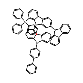 c1ccc(-c2ccc(-n3c4ccccc4c4c(-n5c6cc(-n7c8ccccc8c8ccccc87)ccc6c6cccc([Si](c7ccccc7)(c7ccccc7)c7ccccc7)c65)cccc43)cc2)cc1